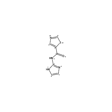 O=C(Nc1ncc[nH]1)c1cncs1